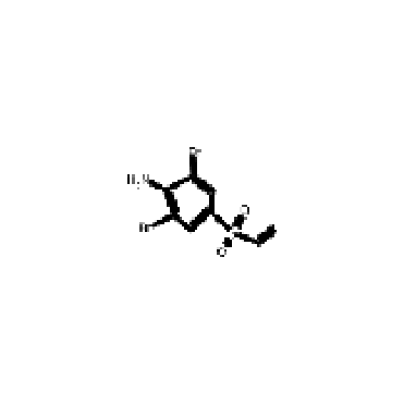 C=CS(=O)(=O)c1cc(Br)c(N)c(Br)c1